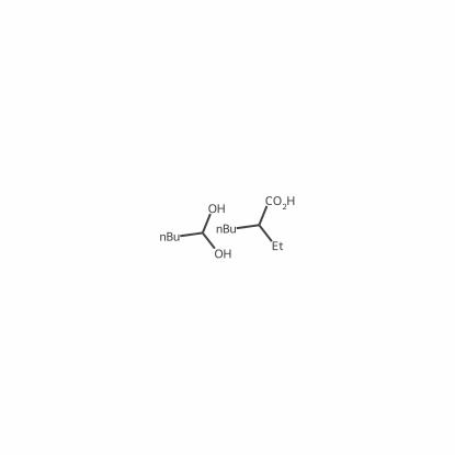 CCCCC(CC)C(=O)O.CCCCC(O)O